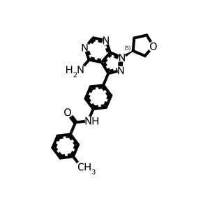 Cc1cccc(C(=O)Nc2ccc(-c3nn([C@H]4CCOC4)c4ncnc(N)c34)cc2)c1